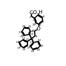 O=C(O)Cc1cccc(OCCC(c2ccccc2)(c2ccccc2)c2ccccc2)c1